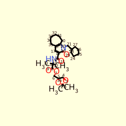 CC1(C)OCC(COC(=O)C(C)(C)NC(=O)c2cc3c(n(CC4CCCCC4)c2=O)CCCCCC3)O1